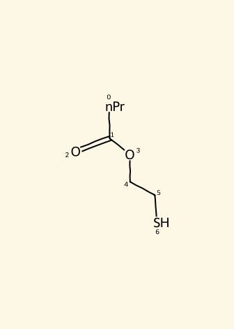 CCCC(=O)OCCS